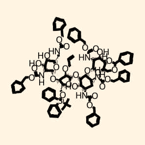 C=CCO[C@H]1[C@H](O[C@@H]2[C@@H](O)[C@H](NC(=O)OCc3ccccc3)C[C@H](NC(=O)OCc3ccccc3)[C@H]2O[C@H]2O[C@@H]3COC(c4ccccc4)O[C@H]3[C@H](O)[C@H]2NC(=O)OCc2ccccc2)O[C@H](CO[Si](c2ccccc2)(c2ccccc2)C(C)(C)C)[C@H]1O[C@H]1O[C@@H](CNC(=O)OCc2ccccc2)[C@@H](O)[C@H](O)[C@H]1NC(=O)OCc1ccccc1